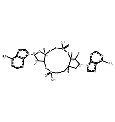 Nc1ncnc2c1ncn2[C@@H]1C[C@@H]2COP(=O)(O)OC3[C@@H](COP(=O)(S)O[C@@H]2C1F)O[C@@H](n1cnc2c(N)ncnc21)[C@H]3F